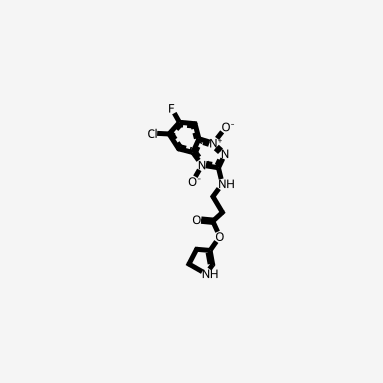 O=C(CCNc1n[n+]([O-])c2cc(F)c(Cl)cc2[n+]1[O-])OC1=CNCC1